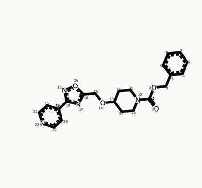 O=C(OCc1ccccc1)N1CCC(OCc2nc(-c3ccncc3)no2)CC1